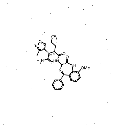 COc1cccc2c1NC(=O)C(NC(=O)[C@H](CCC(F)(F)F)[C@@H](C(N)=O)c1conc1C)N=C2c1ccccc1